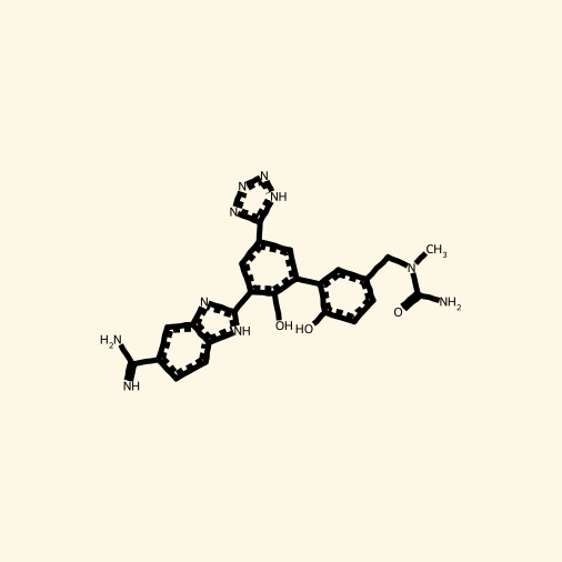 CN(Cc1ccc(O)c(-c2cc(-c3nnn[nH]3)cc(-c3nc4cc(C(=N)N)ccc4[nH]3)c2O)c1)C(N)=O